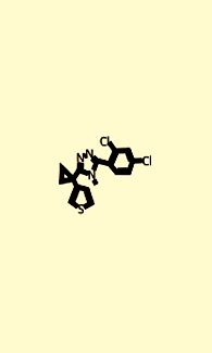 Cn1c(-c2ccc(Cl)cc2Cl)nnc1C1(c2ccsc2)CC1